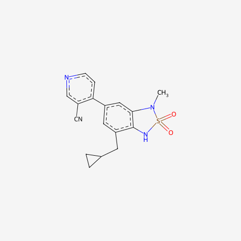 CN1c2cc(-c3ccncc3C#N)cc(CC3CC3)c2NS1(=O)=O